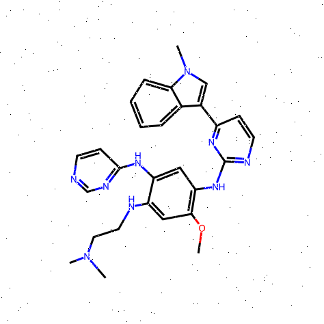 COc1cc(NCCN(C)C)c(Nc2ccncn2)cc1Nc1nccc(-c2cn(C)c3ccccc23)n1